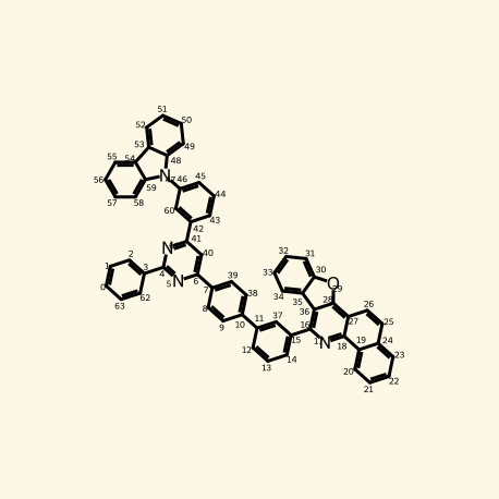 c1ccc(-c2nc(-c3ccc(-c4cccc(-c5nc6c7ccccc7ccc6c6oc7ccccc7c56)c4)cc3)cc(-c3cccc(-n4c5ccccc5c5ccccc54)c3)n2)cc1